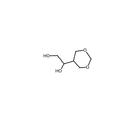 OCC(O)C1COCOC1